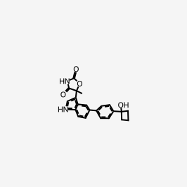 CC1(c2c[nH]c3ccc(-c4ccc(C5(O)CCC5)cc4)cc23)OC(=O)NC1=O